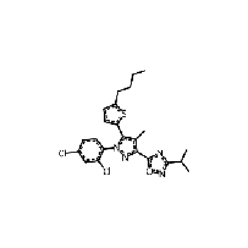 CCCCc1ccc(-c2c(C)c(-c3nc(C(C)C)no3)nn2-c2ccc(Cl)cc2Cl)s1